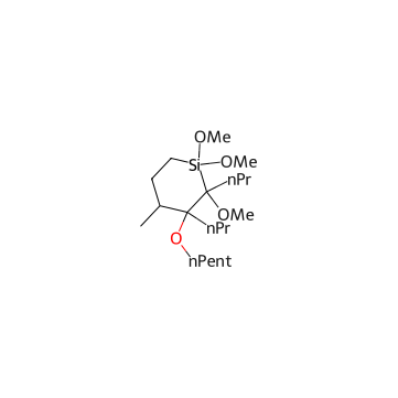 CCCCCOC1(CCC)C(C)CC[Si](OC)(OC)C1(CCC)OC